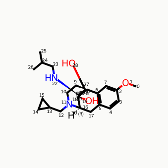 COc1ccc2c(c1)[C@]13CCN(CC4CC4)[C@H](C2)[C@]1(O)C[C@@H](NCC(C)C)C(O)C3